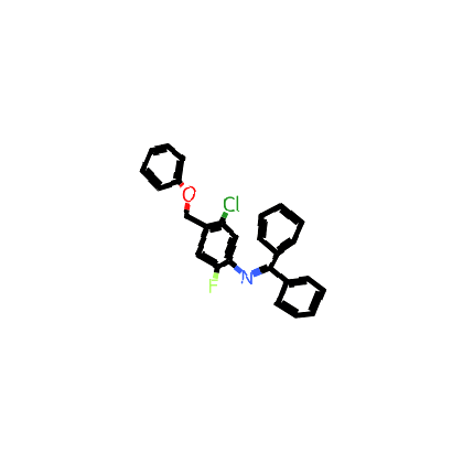 Fc1cc(COc2ccccc2)c(Cl)cc1N=C(c1ccccc1)c1ccccc1